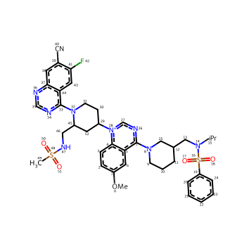 COc1ccc2c(c1)c(N1CCCC(CN(C(C)C)S(=O)(=O)c3ccccc3)C1)nc[n+]2C1CCN(c2ncnc3cc(C#N)c(F)cc23)C(CNS(C)(=O)=O)C1